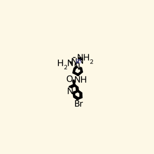 CN(N)/C(=N\N)N1CCC(NC(=O)c2cnc3cc(Br)ccc3c2)CC1